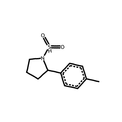 Cc1ccc(C2CCCN2[SH](=O)=O)cc1